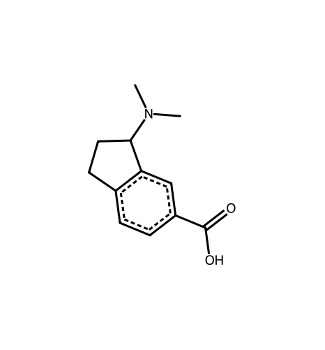 CN(C)C1CCc2ccc(C(=O)O)cc21